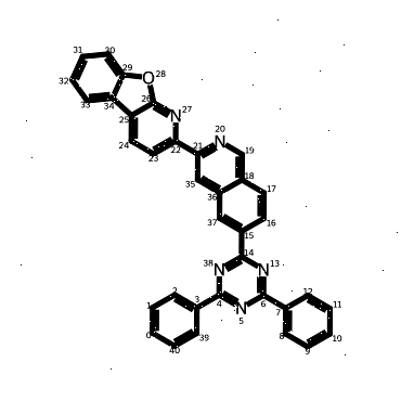 c1ccc(-c2nc(-c3ccccc3)nc(-c3ccc4cnc(-c5ccc6c(n5)oc5ccccc56)cc4c3)n2)cc1